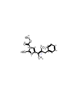 CCCCc1nc(/C(C)=C(/Cc2ccccc2)C(=O)O)cn1C(=O)OC(C)(C)C